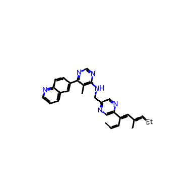 C\C=C/C(=C\C(C)=C\CC)c1cnc(CNc2ncnc(-c3ccc4ncccc4c3)c2C)cn1